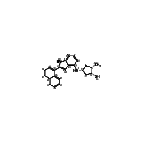 C[C@H]1C[C@@H](Nc2ncnc3[nH]c(-c4cccc5ccccc45)nc23)C[C@H]1O